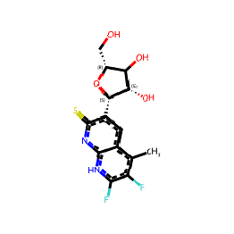 Cc1c2cc([C@@H]3O[C@H](CO)C(O)[C@@H]3O)c(=S)nc-2[nH]c(F)c1F